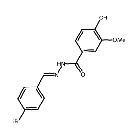 COc1cc(C(=O)N/N=C/c2ccc(C(C)C)cc2)ccc1O